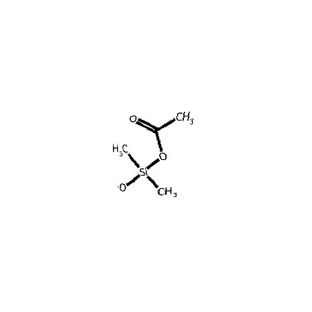 CC(=O)O[Si](C)(C)[O]